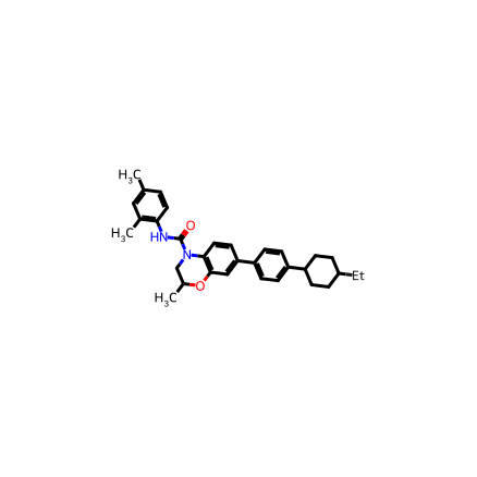 CCC1CCC(c2ccc(-c3ccc4c(c3)OC(C)CN4C(=O)Nc3ccc(C)cc3C)cc2)CC1